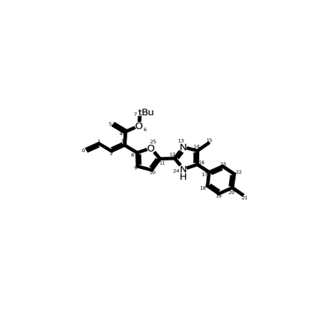 C=C/C=C(\C(=C)OC(C)(C)C)c1ccc(-c2nc(C)c(-c3ccc(C)cc3)[nH]2)o1